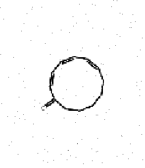 O=C1C=CC=CC=CCCCCC1